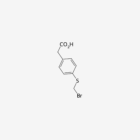 O=C(O)Cc1ccc(SCBr)cc1